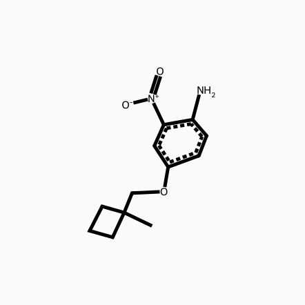 CC1(COc2ccc(N)c([N+](=O)[O-])c2)CCC1